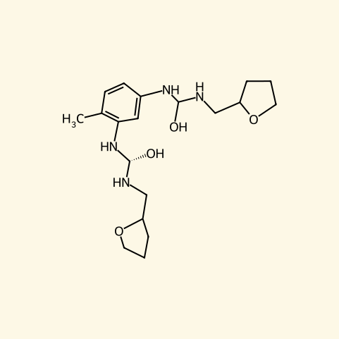 Cc1ccc(NC(O)NCC2CCCO2)cc1N[C@H](O)NCC1CCCO1